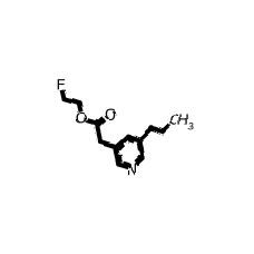 CCCc1cncc(CC(=O)OCCF)c1